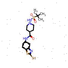 CC(C)(C)S(=O)(=O)NN1CCC(C(=O)Nc2ccc3sc(S)nc3c2)CC1